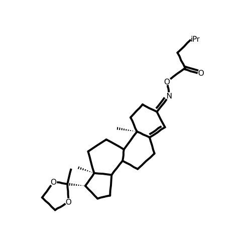 CC(C)CC(=O)O/N=C1/C=C2CCC3C(CC[C@@]4(C)C3CC[C@@H]4C3(C)OCCO3)[C@@]2(C)CC1